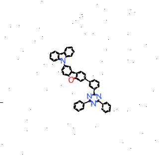 c1ccc(-c2nc(-c3ccccc3)nc(-c3cccc(-c4ccc5c(c4)oc4ccc(-n6c7ccccc7c7ccccc76)cc45)c3)n2)cc1